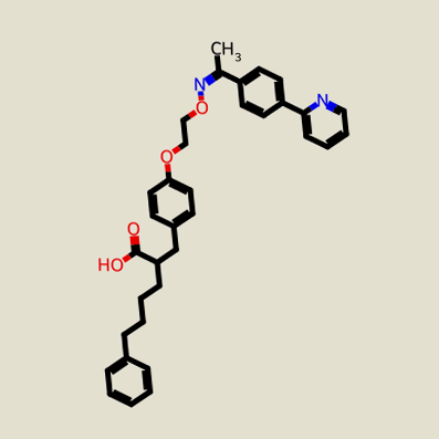 CC(=NOCCOc1ccc(CC(CCCCc2ccccc2)C(=O)O)cc1)c1ccc(-c2ccccn2)cc1